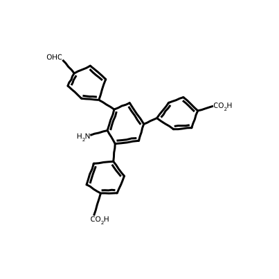 Nc1c(-c2ccc(C=O)cc2)cc(-c2ccc(C(=O)O)cc2)cc1-c1ccc(C(=O)O)cc1